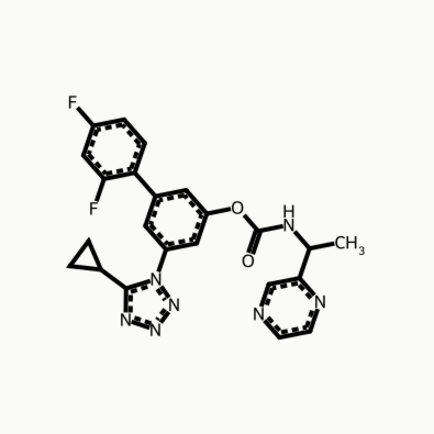 CC(NC(=O)Oc1cc(-c2ccc(F)cc2F)cc(-n2nnnc2C2CC2)c1)c1cnccn1